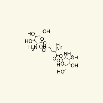 N[C@@H]1[C@@H](O)[C@H](O)[C@@H](CO)OC1(O)OC(=O)[C@@H](N)CCC(=O)OC1(O)O[C@@H](CO)[C@H](O)[C@@H](O)[C@@H]1N